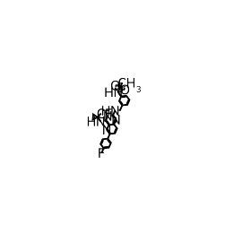 CS(=O)(=O)Nc1cccc(CNc2nc(NC3(C(F)(F)F)CC3)c3nc(-c4ccc(F)cc4)ccc3n2)c1